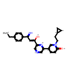 CNCc1ccc(C(=N)/C=C(\O)c2cncc(-c3ccc(=O)n(CCC4CC4)c3)n2)cc1